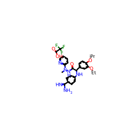 CCOc1cc(C(Nc2ccc(C(=N)N)cc2)C(=O)NN(C)c2ccccn2)ccc1OC(C)C.O=C(O)C(F)(F)F